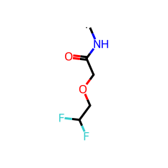 [CH2]NC(=O)COCC(F)F